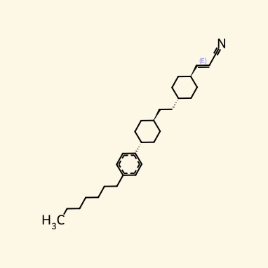 CCCCCCCc1ccc([C@H]2CC[C@H](CC[C@H]3CC[C@H](/C=C/C#N)CC3)CC2)cc1